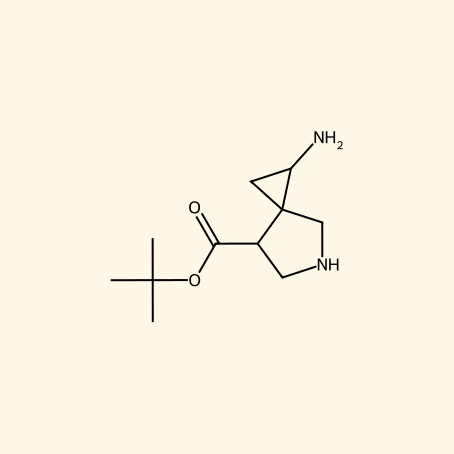 CC(C)(C)OC(=O)C1CNCC12CC2N